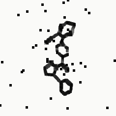 N#Cc1nccnc1N1CCC(C(=O)N2N=CCC2c2ccccc2)CC1